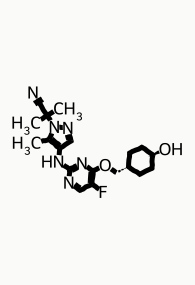 Cc1c(Nc2ncc(F)c(OC[C@H]3CC[C@H](O)CC3)n2)cnn1C(C)(C)C#N